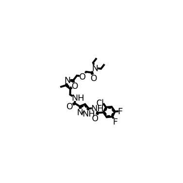 CCN(CC)C(=O)COCc1nc(C)c(CNC(=O)c2cc(NC(=O)c3cc(F)c(F)cc3Cl)[nH]n2)o1